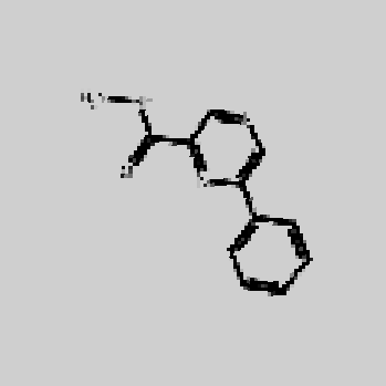 NNC(=O)c1cncc(-c2ccccc2)n1